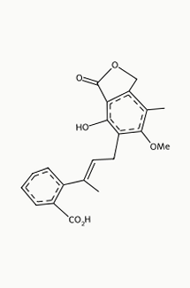 COc1c(C)c2c(c(O)c1C/C=C(\C)c1ccccc1C(=O)O)C(=O)OC2